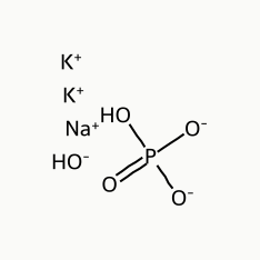 O=P([O-])([O-])O.[K+].[K+].[Na+].[OH-]